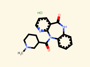 CN1CCCC(C(=O)N2c3ccccc3NC(=O)c3cccnc32)C1.Cl